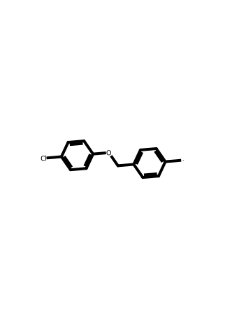 [CH2]c1ccc(COc2ccc(Cl)cc2)cc1